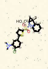 CN(C)c1cc(-c2ccc(S(=O)(=O)N[C@@]3(C(=O)O)C[C@]3(C)c3ccccc3)s2)ccc1Cl